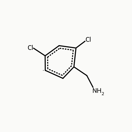 NCc1c[c]c(Cl)cc1Cl